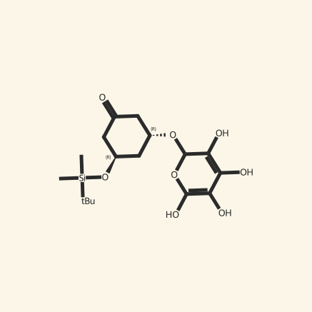 CC(C)(C)[Si](C)(C)O[C@H]1CC(=O)C[C@H](OC2OC(O)=C(O)C(O)=C2O)C1